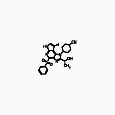 C[C@@H](O)c1nc2c(S(=O)(=O)c3ccccc3)nc3[nH]cc(I)c3c2n1C1CCC(C#N)CC1